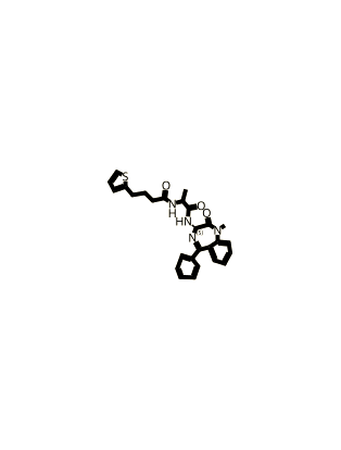 CC(NC(=O)CCCc1cccs1)C(=O)N[C@H]1N=C(c2ccccc2)c2ccccc2N(C)C1=O